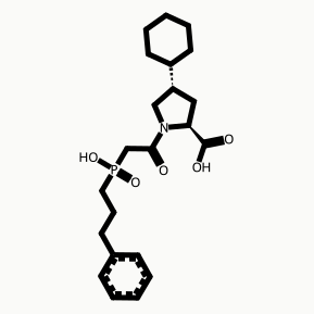 O=C(O)[C@@H]1C[C@@H](C2CCCCC2)CN1C(=O)CP(=O)(O)CCCc1ccccc1